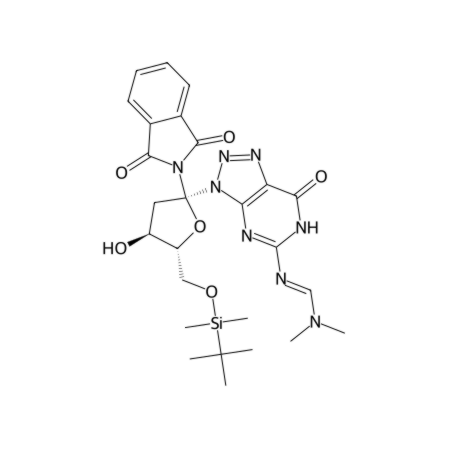 CN(C)C=Nc1nc2c(nnn2[C@@]2(N3C(=O)c4ccccc4C3=O)C[C@H](O)[C@@H](CO[Si](C)(C)C(C)(C)C)O2)c(=O)[nH]1